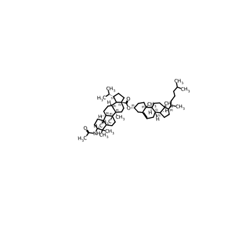 CC(=O)NC1CC[C@@]2(C)C(CC[C@]3(C)[C@@H]2CC[C@@H]2C4[C@H](C(C)C)CC[C@]4(C(=O)O[C@@H]4CC[C@@]5(C)C(=CC[C@H]6[C@@H]7CC[C@H]([C@H](C)CCCC(C)C)[C@@]7(C)CC[C@@H]65)C4)CC[C@]23C)C1(C)C